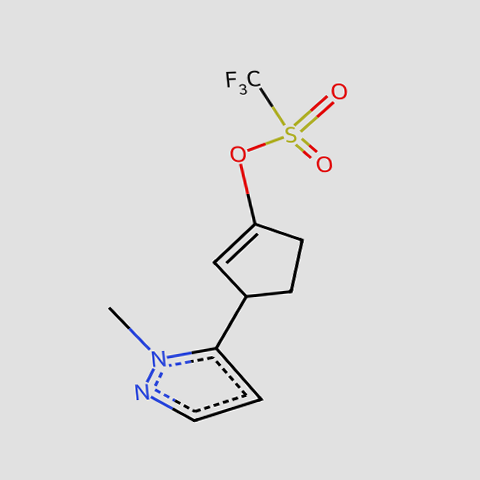 Cn1nccc1C1C=C(OS(=O)(=O)C(F)(F)F)CC1